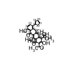 CC(=O)C1=C(O)C(C(C)C)[C@@]2(C)C[C@@]3(C)Cc4c(C5=CC=CC5)ccc(O)c4C(=O)C3=C(O)[C@@]2(O)C1=O